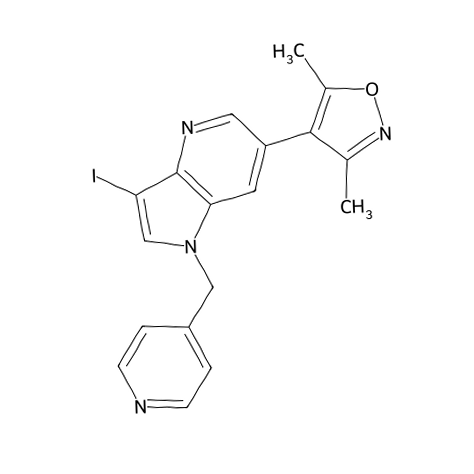 Cc1noc(C)c1-c1cnc2c(I)cn(Cc3ccncc3)c2c1